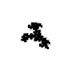 CC(C)(C)OC(=O)N1CCC2(CC1)C(=O)N(C1CC(N3CCCC4(CC4)C3)C1)c1cc(B3OC(C)(C)C(C)(C)O3)ccc12